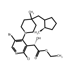 CCOC(=O)[C@@H](O)c1c(Cl)ncc(Br)c1N1CCC(C)(CC2CCC[C@H]2C)CC1